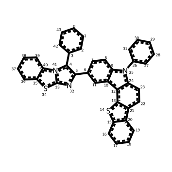 c1ccc(-c2c(-c3ccc4c(c3)c3c5sc6ccccc6c5ccc3n4-c3ccccc3)nc3sc4ccccc4n23)cc1